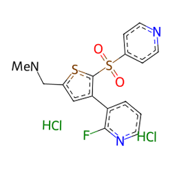 CNCc1cc(-c2cccnc2F)c(S(=O)(=O)c2ccncc2)s1.Cl.Cl